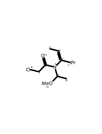 CC=C(C(C)C)N(C(=O)CCl)C(C)OC